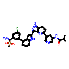 CC(C)C(=O)Nc1cncc(-c2ccc3[nH]nc(-c4cc5c(-c6cc(F)cc(C(N)S(C)(=O)=O)c6)cccc5[nH]4)c3n2)c1